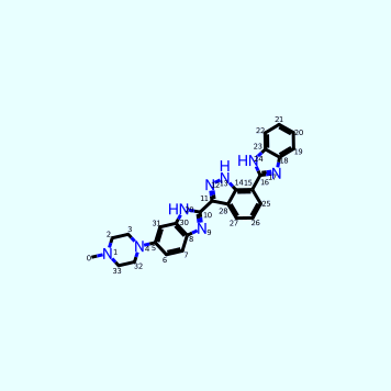 CN1CCN(c2ccc3nc(-c4n[nH]c5c(-c6nc7ccccc7[nH]6)cccc45)[nH]c3c2)CC1